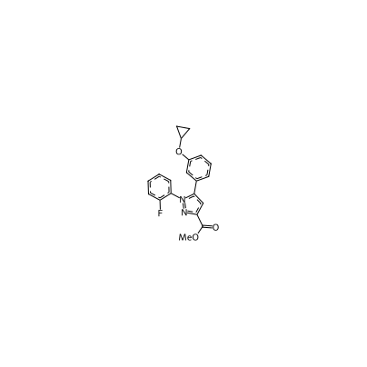 COC(=O)c1cc(-c2cccc(OC3CC3)c2)n(-c2ccccc2F)n1